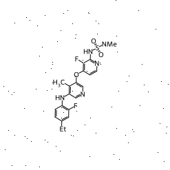 CCc1ccc(Nc2cncc(Oc3ccnc(NS(=O)(=O)NC)c3F)c2C)c(F)c1